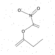 C=C(CC)OC(=C)[N+](=O)[O-]